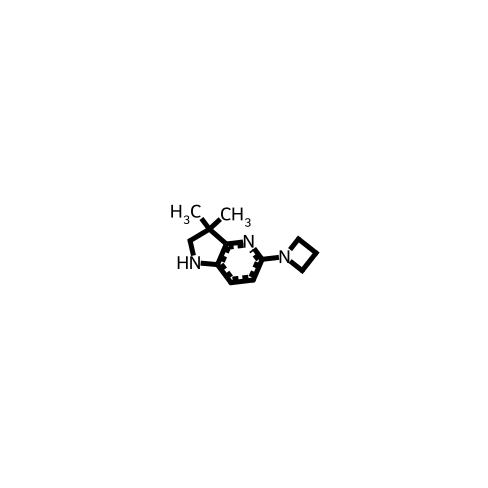 CC1(C)CNc2ccc(N3CCC3)nc21